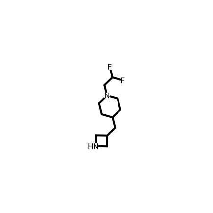 FC(F)CN1CCC(CC2CNC2)CC1